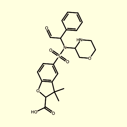 CC1(C)c2cc(S(=O)(=O)N(C3COCCN3)C(C=O)c3ccccc3)ccc2OC1C(=O)O